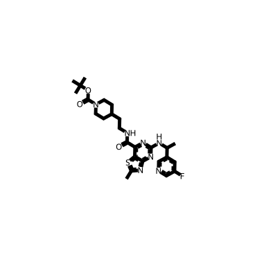 Cc1nc2nc(NC(C)c3cncc(F)c3)nc(C(=O)NCCC3CCN(C(=O)OC(C)(C)C)CC3)c2s1